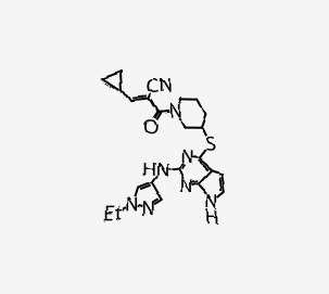 CCn1cc(Nc2nc(SC3CCCN(C(=O)/C(C#N)=C/C4CC4)C3)c3cc[nH]c3n2)cn1